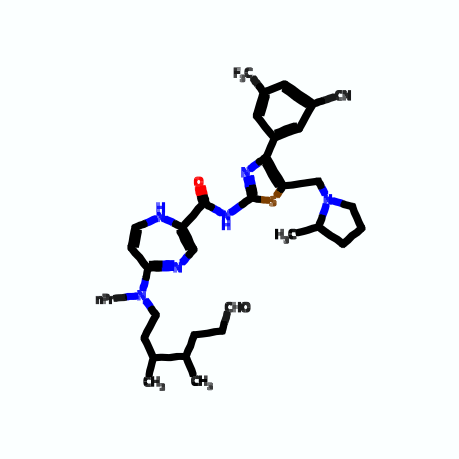 CCCN(CCC(C)C(C)CCC=O)C1=NC=C(C(=O)Nc2nc(-c3cc(C#N)cc(C(F)(F)F)c3)c(CN3CCCC3C)s2)NC=C1